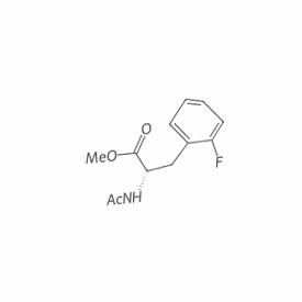 COC(=O)[C@H](Cc1ccccc1F)NC(C)=O